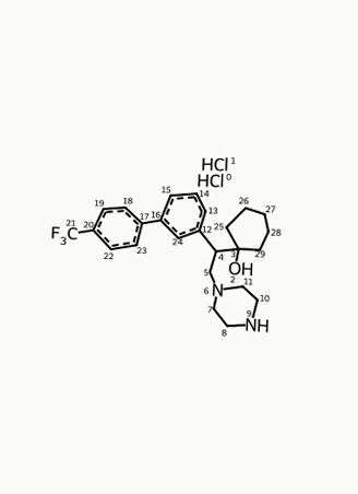 Cl.Cl.OC1(C(CN2CCNCC2)c2cccc(-c3ccc(C(F)(F)F)cc3)c2)CCCCC1